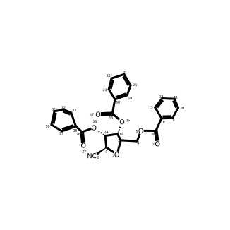 N#C[C@@H]1O[C](COC(=O)c2ccccc2)[C@@H](OC(=O)c2ccccc2)[C@H]1OC(=O)c1ccccc1